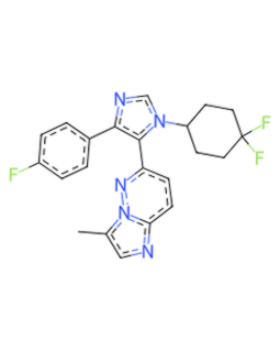 Cc1cnc2ccc(-c3c(-c4ccc(F)cc4)ncn3C3CCC(F)(F)CC3)nn12